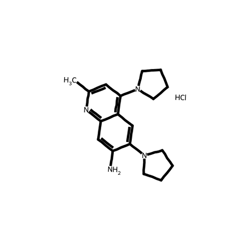 Cc1cc(N2CCCC2)c2cc(N3CCCC3)c(N)cc2n1.Cl